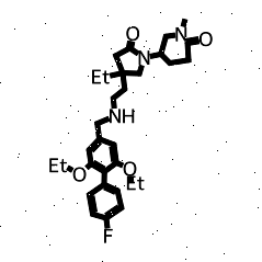 CCOc1cc(CNCCC2(CC)CC(=O)N(C3CCC(=O)N(C)C3)C2)cc(OCC)c1-c1ccc(F)cc1